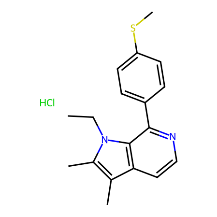 CCn1c(C)c(C)c2ccnc(-c3ccc(SC)cc3)c21.Cl